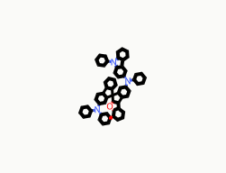 c1ccc(N(c2ccccc2)c2ccc3c(c2)C2(c4ccccc4-3)c3cc(N(c4ccccc4)c4ccc5c(c4)c4ccccc4n5-c4ccccc4)ccc3-c3c2oc2ccccc32)cc1